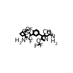 Cc1c(C(N)=O)ncc(OC(F)F)c1-c1ccc(F)c([C@]2(CF)CS(=O)(=O)C3(CCC3)C(N)=N2)c1